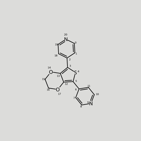 c1cc(-c2sc(-c3ccncc3)c3c2OCCO3)ccn1